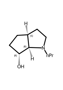 CCCN1CC[C@@H]2CC[C@@H](O)[C@@H]21